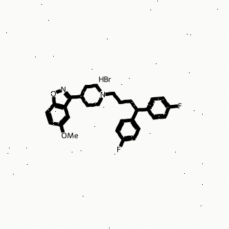 Br.COc1ccc2onc(C3CCN(CCCC(c4ccc(F)cc4)c4ccc(F)cc4)CC3)c2c1